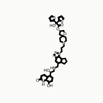 O=C(O[C@H]1COC2(CCN(CCCn3nnc4cc(CNC[C@H](O)c5ccc(O)c6[nH]c(=O)ccc56)c5c(c43)CCC5)CC2)C1)C(O)(c1cccs1)c1cccs1